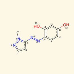 Cn1nccc1/N=N/c1ccc(O)cc1O